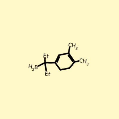 BC(CC)(CC)C1=CC(C)=C(C)CC1